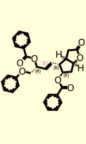 O=C1C[C@@H]2[C@@H](/C=C/[C@H](COc3ccccc3)OC(=O)c3ccccc3)[C@H](OC(=O)c3ccccc3)C[C@@H]2O1